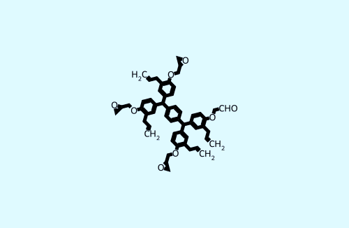 C=CCc1cc(C(c2ccc(C(c3ccc(OCC4CO4)c(CC=C)c3)c3ccc(OCC4CO4)c(CC=C)c3)cc2)c2ccc(OCC3CO3)c(CC=C)c2)ccc1OCC=O